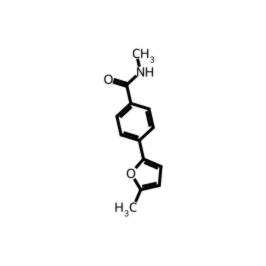 CNC(=O)c1ccc(-c2ccc(C)o2)cc1